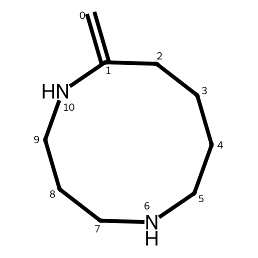 C=C1CCCCNCCCN1